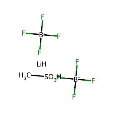 CS(=O)(=O)O.F[B-](F)(F)F.F[B-](F)(F)F.[LiH]